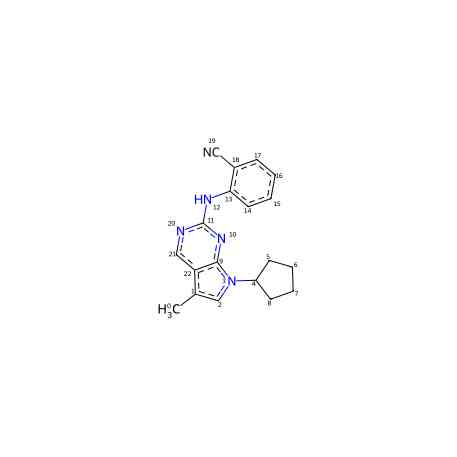 Cc1cn(C2CCCC2)c2nc(Nc3ccccc3C#N)ncc12